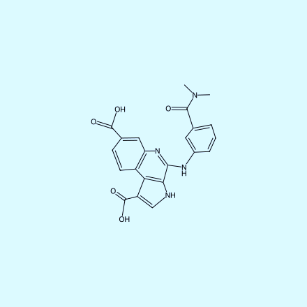 CN(C)C(=O)c1cccc(Nc2nc3cc(C(=O)O)ccc3c3c(C(=O)O)c[nH]c23)c1